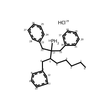 CCCCCC(Cc1ccccc1)C(P)(Cc1ccccc1)Cc1ccccc1.Cl